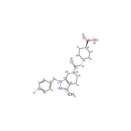 Cc1nn(Cc2ccc(F)cc2)c2c1CCN(C(=O)C[C@H]1CC[C@H](C(=O)O)CC1)C2